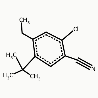 CCc1cc(Cl)c(C#N)cc1C(C)(C)C